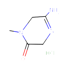 CN1CC(N)=NCC1=O.Cl